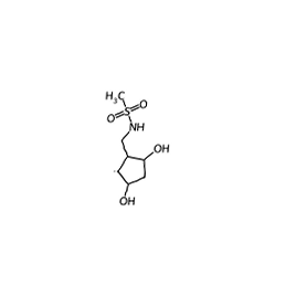 CS(=O)(=O)NCC1[CH]C(O)CC1O